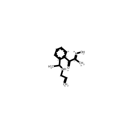 C=CCNC(C)c1ccccc1C(=O)C(C)=NO